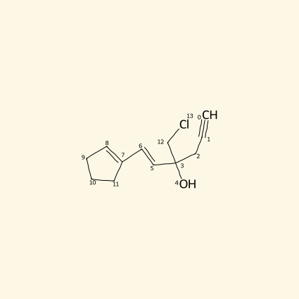 C#CCC(O)(C=CC1=CCCC1)CCl